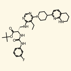 CCc1c(NC[C@H](NC(=O)Nc2cccc(F)c2)C(=O)OC(C)(C)C)ncnc1N1CCC(c2ccc3c(n2)NCCC3)CC1